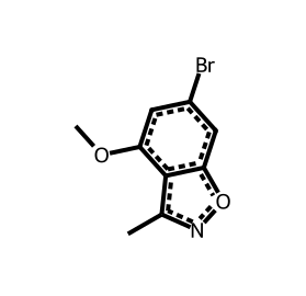 COc1cc(Br)cc2onc(C)c12